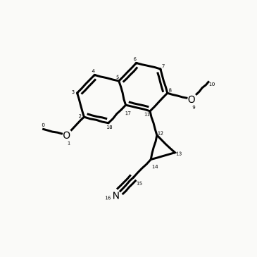 COc1ccc2ccc(OC)c(C3CC3C#N)c2c1